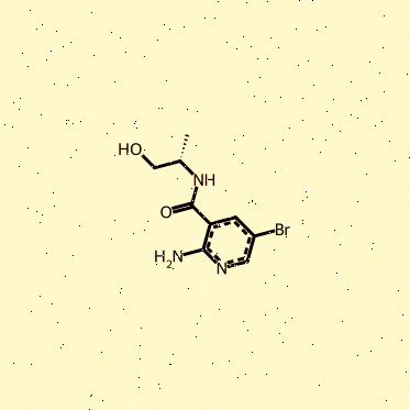 C[C@@H](CO)NC(=O)c1cc(Br)cnc1N